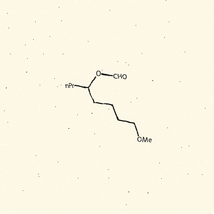 [CH2]CCC(CCCCOC)OC=O